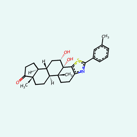 Cc1cccc(-c2nc3c(s2)[C@]2(O)[C@@H](O)C[C@H]4[C@@H]5CCC(=O)[C@@]5(C)CC[C@@H]4[C@@]2(C)CC3)c1